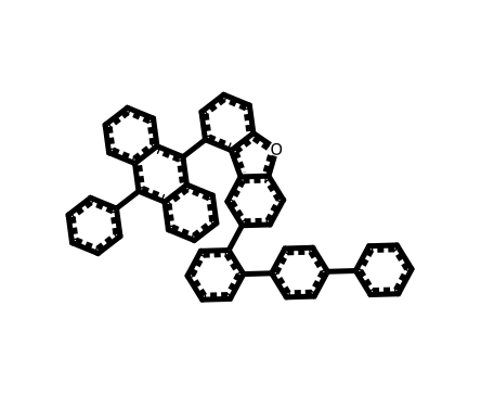 c1ccc(-c2ccc(-c3ccccc3-c3ccc4oc5cccc(-c6c7ccccc7c(-c7ccccc7)c7ccccc67)c5c4c3)cc2)cc1